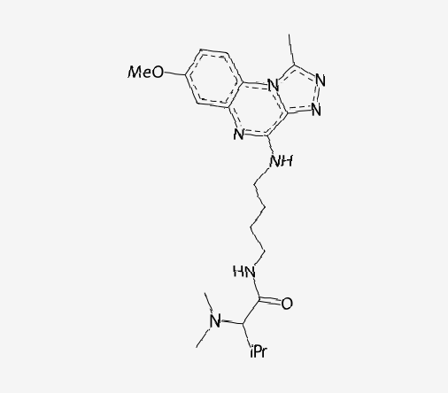 COc1ccc2c(c1)nc(NCCCCNC(=O)C(C(C)C)N(C)C)c1nnc(C)n12